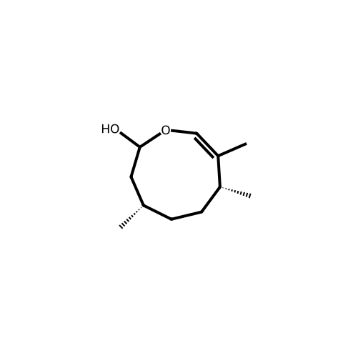 C/C1=C/OC(O)C[C@@H](C)CC[C@H]1C